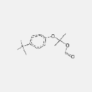 CC(C)(OC=O)Oc1ccc(C(C)(C)C)cc1